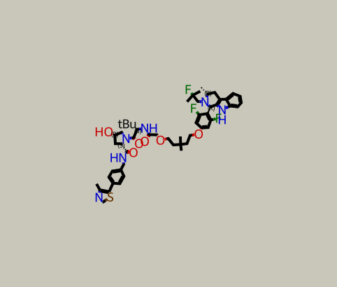 Cc1ncsc1-c1ccc(CNC(=O)[C@@H]2C[C@@H](O)CN2C(=O)[C@@H](NC(=O)COCCC(C)(C)CCOc2cc(F)c([C@@H]3c4[nH]c5ccccc5c4C[C@@H](C)N3CC(C)(C)F)c(F)c2)C(C)(C)C)cc1